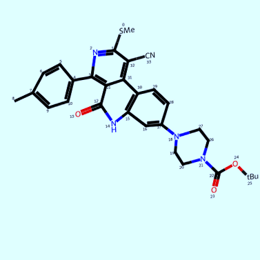 CSc1nc(-c2ccc(C)cc2)c2c(=O)[nH]c3cc(N4CCN(C(=O)OC(C)(C)C)CC4)ccc3c2c1C#N